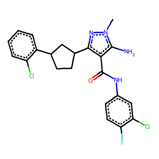 Cn1nc(C2CCC(c3ccccc3Cl)C2)c(C(=O)Nc2ccc(F)c(Cl)c2)c1N